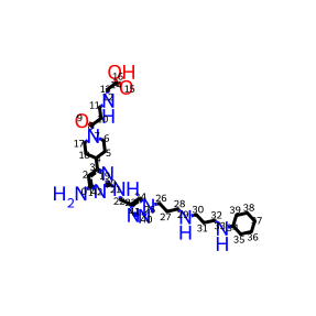 Nc1cc(C2CCN(C(=O)CCNCC(=O)O)CC2)nc(NCc2cn(CCCNCCCNC3CCCCC3)nn2)n1